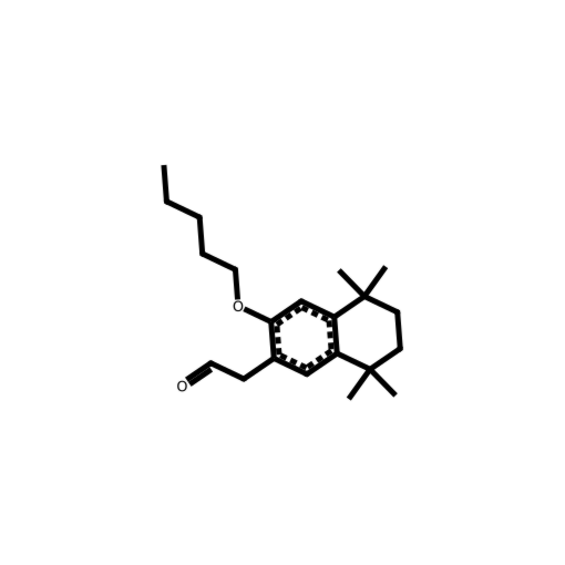 CCCCCOc1cc2c(cc1CC=O)C(C)(C)CCC2(C)C